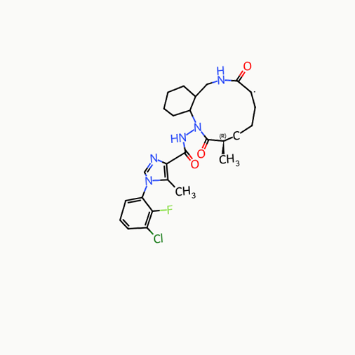 Cc1c(C(=O)NN2C(=O)[C@H](C)CCC[CH]C(=O)NCC3CCCCC32)ncn1-c1cccc(Cl)c1F